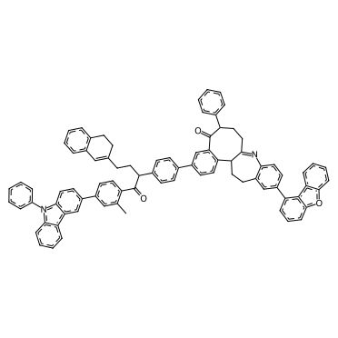 Cc1cc(-c2ccc3c(c2)c2ccccc2n3-c2ccccc2)ccc1C(=O)C(CCC1=Cc2ccccc2CC1)c1ccc(-c2ccc3c(c2)C(=O)C(c2ccccc2)CCC2=Nc4ccc(-c5cccc6oc7ccccc7c56)cc4CCC23)cc1